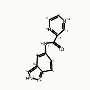 O=C(Nc1ccc2n[nH]cc2c1)c1cnccn1